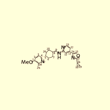 COc1ccc([C@H]2CC[C@H](CNc3cc(-c4coc(C5CC5)n4)ccn3)CC2)nc1C